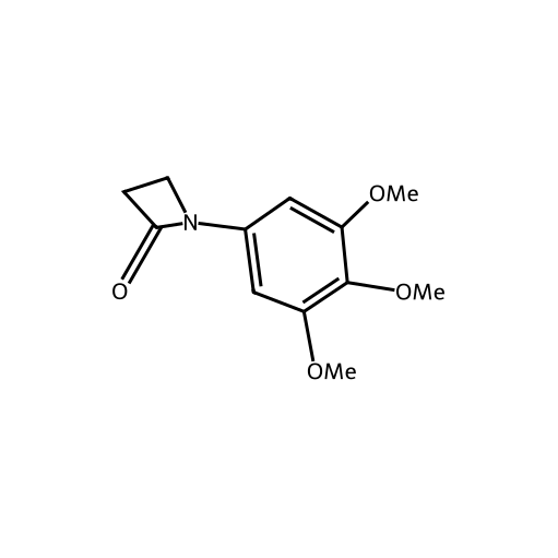 COc1cc(N2CCC2=O)cc(OC)c1OC